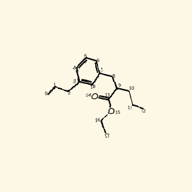 CCCc1cccc(CC(CCC)C(=O)OCC)c1